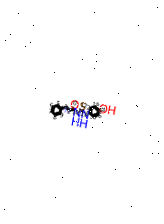 O=C(/C=C/c1ccccc1)NC(=S)Nc1ccc(O)cc1